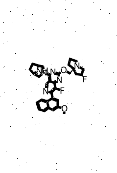 COc1cc(-c2ncc3c(N4CC5CCC(C4)N5)nc(OC[C@@]45CCCN4C[C@H](F)C5)nc3c2F)c2ccccc2c1